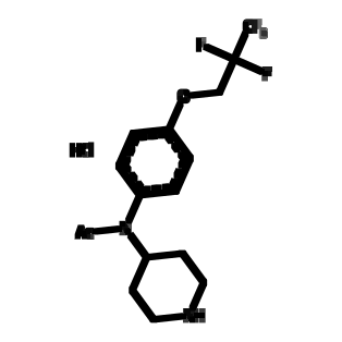 CC(=O)N(c1ccc(OCC(F)(F)C(F)(F)F)cc1)C1CCNCC1.Cl